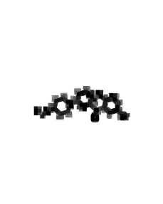 Nc1ncc(Br)cc1C(=O)c1cccc(N2CCC(N)CC2)n1